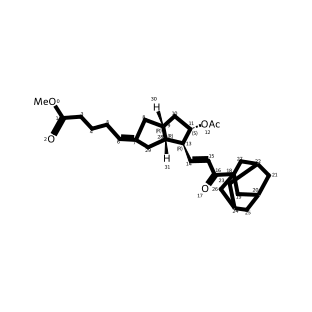 COC(=O)CCCC=C1C[C@@H]2C[C@H](OC(C)=O)[C@@H](C=CC(=O)C34CC5CC(CC(C5)C3)C4)[C@@H]2C1